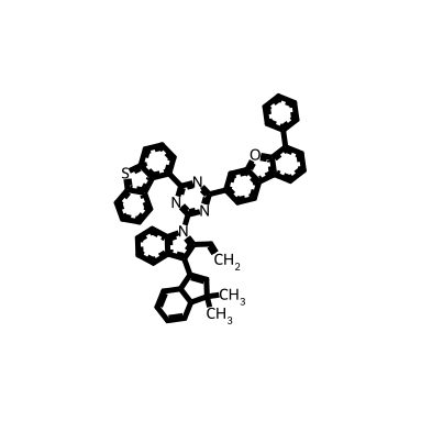 C=Cc1c(C2=CC(C)(C)C3C=CC=CC23)c2ccccc2n1-c1nc(-c2ccc3c(c2)oc2c(-c4ccccc4)cccc23)nc(-c2cccc3sc4ccccc4c23)n1